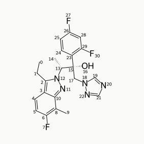 CCc1c2ccc(F)c(C)c2nn1[C@H](C)[C@](O)(Cn1cncn1)c1ccc(F)cc1F